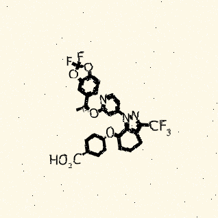 C[C@H](Oc1cc(-n2nc(C(F)(F)F)c3c2C(O[C@H]2CC[C@H](C(=O)O)CC2)CCC3)ccn1)c1ccc2c(c1)OC(F)(F)O2